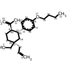 C=CC[C@]1(CO)CC[C@@H](C(=C)C)[C@H](c2ccc(OCCCC)cc2)C1